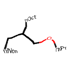 CCCCCCCCCCC(CCCCCCCC)COCCC